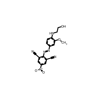 COc1cc(N=Nc2c(C#N)cc([N+](=O)[O-])cc2C#N)ccc1NCCO